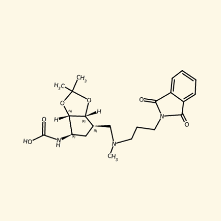 CN(CCCN1C(=O)c2ccccc2C1=O)C[C@H]1C[C@@H](NC(=O)O)[C@@H]2OC(C)(C)O[C@H]12